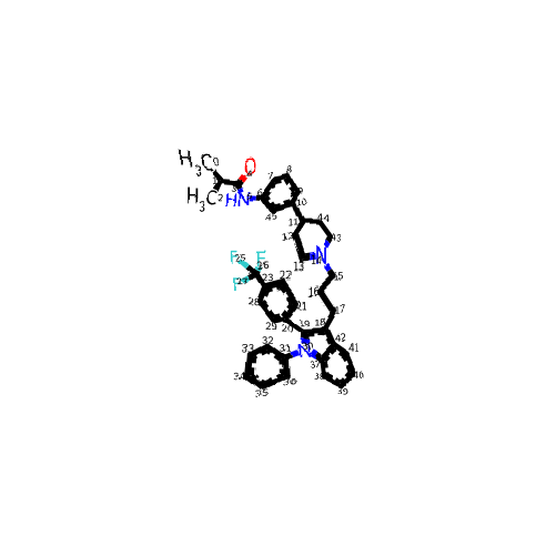 CC(C)C(=O)Nc1cccc(C2CCN(CCCc3c(-c4ccc(C(F)(F)F)cc4)n(-c4ccccc4)c4ccccc34)CC2)c1